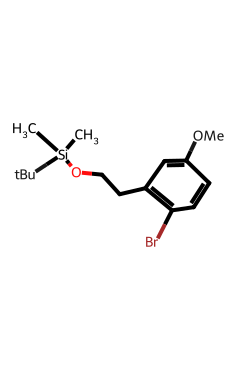 COc1ccc(Br)c(CCO[Si](C)(C)C(C)(C)C)c1